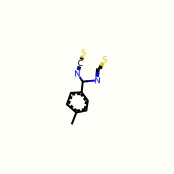 Cc1ccc(C(N=C=S)N=C=S)cc1